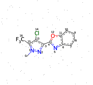 Cn1nc(-c2nc3ccccc3o2)c(Cl)c1C(F)(F)F